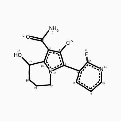 NC(=O)c1c(Cl)c(-c2cccnc2F)n2c1C(O)CCC2